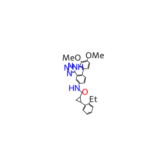 CCc1ccccc1C1CC1C(=O)Nc1ccc(-c2ccc(OC)c(OC)c2)c(-c2nnn[nH]2)c1